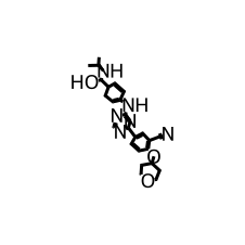 CC(C)NC(O)C1C=CC(Nc2ncnc(-c3ccc(OC4CCOCC4)c(C#N)c3)n2)=CC1